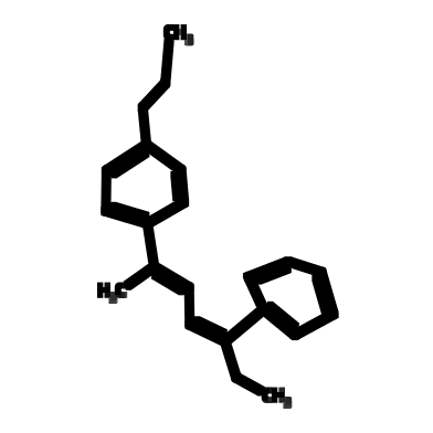 CCCc1ccc(C(C)=CC=C(CC)c2ccccc2)cc1